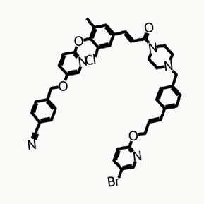 Cc1cc(C=CC(=O)N2CCN(Cc3ccc(C=CCOc4ccc(Br)cn4)cc3)CC2)cc(Cl)c1Oc1ccc(OCc2ccc(C#N)cc2)cn1